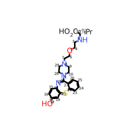 CC(C)[C@H](NCCOCCN1CCN(C2=Nc3ccc(O)cc3Sc3ccccc32)CC1)C(=O)O